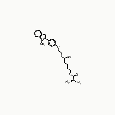 C=C(C)C(=O)OCCCCC(O)CCCOc1ccc(-c2cc3ccccc3n2C)cc1